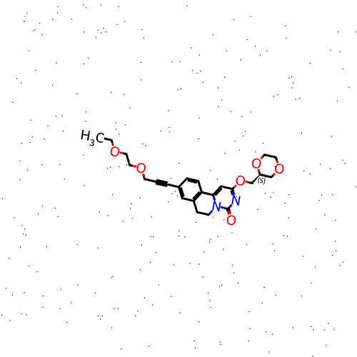 CCOCCOCC#Cc1ccc2c(c1)CCn1c-2cc(OC[C@@H]2COCCO2)nc1=O